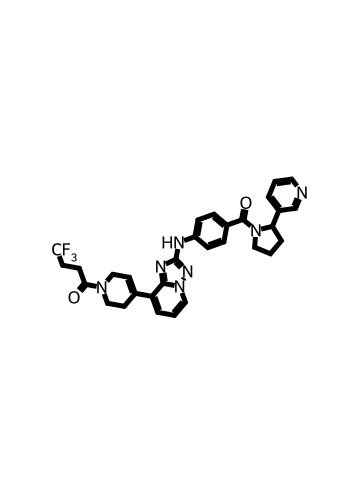 O=C(CCC(F)(F)F)N1CC=C(c2cccn3nc(Nc4ccc(C(=O)N5CCCC5c5cccnc5)cc4)nc23)CC1